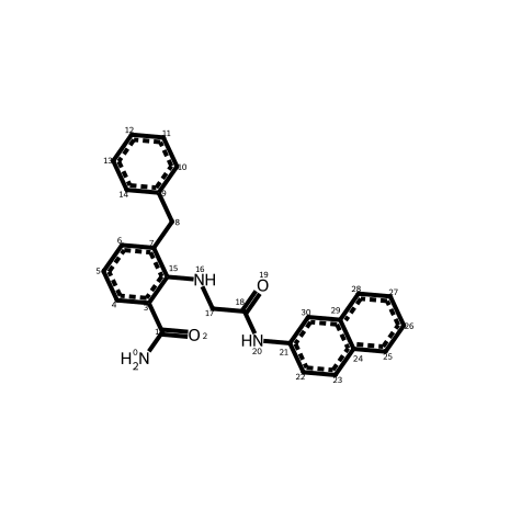 NC(=O)c1cccc(Cc2ccccc2)c1NCC(=O)Nc1ccc2ccccc2c1